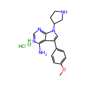 COc1ccc(-c2cn(C3CCNC3)c3ncnc(N)c23)cc1.Cl.Cl